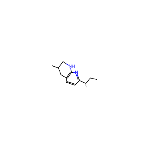 CCC(C)c1ccc2c(n1)NCC(C)C2